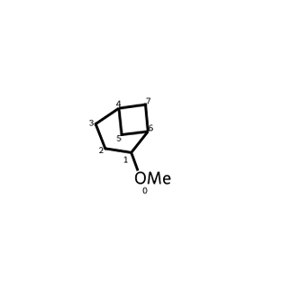 COC1CCC2CC1C2